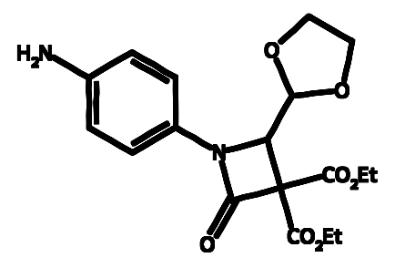 CCOC(=O)C1(C(=O)OCC)C(=O)N(c2ccc(N)cc2)C1C1OCCO1